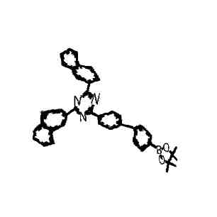 CC1(C)OB(c2ccc(-c3ccc(-c4nc(-c5ccc6ccccc6c5)nc(-c5ccc6ccccc6c5)n4)cc3)cc2)OC1(C)C